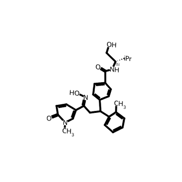 Cc1ccccc1C(CC(=NO)c1ccc(=O)n(C)c1)c1ccc(C(=O)N[C@H](CO)C(C)C)cc1